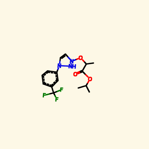 CC(C)OC(=O)C(C)ON1C=CN(c2cccc(C(F)(F)F)c2)N1